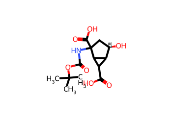 CC(C)(C)OC(=O)NC1(C(=O)O)C[C@@H](O)C2C(C(=O)O)C21